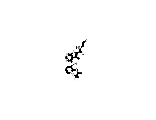 Cc1c(C(=O)NCCO)sc2ncnc(Nc3cccnc3OC(C)C(F)(F)F)c12